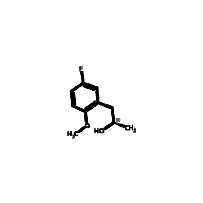 COc1ccc(F)cc1C[C@@H](C)O